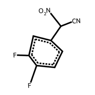 N#CC(c1ccc(F)c(F)c1)[N+](=O)[O-]